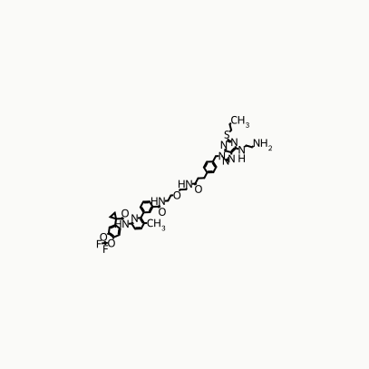 CCCSc1nc(NCCN)c2nnn(Cc3ccc(CCC(=O)NCCOCCNC(=O)c4cccc(-c5nc(NC(=O)C6(c7ccc8c(c7)OC(F)(F)O8)CC6)ccc5C)c4)cc3)c2n1